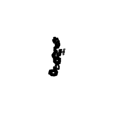 CC(C)(C)[Si](C)(C)OCc1cc2cc(OCc3ccccc3)ccc2[nH]1